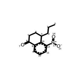 CCCC1CCC(=O)c2cccc([N+](=O)[O-])c21